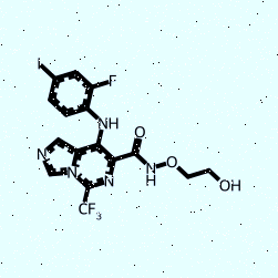 O=C(NOCCO)c1nc(C(F)(F)F)n2cncc2c1Nc1ccc(I)cc1F